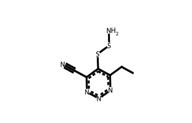 CCc1nnnc(C#N)c1SSN